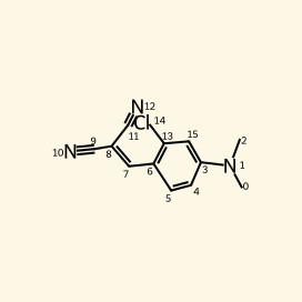 CN(C)c1ccc(C=C(C#N)C#N)c(Cl)c1